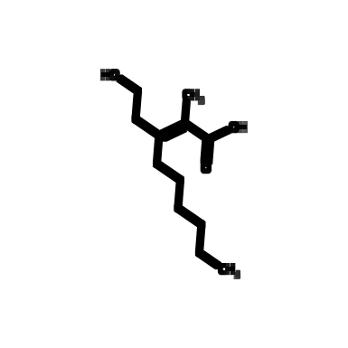 CCCCCCC(CCO)=C(C)C(=O)O